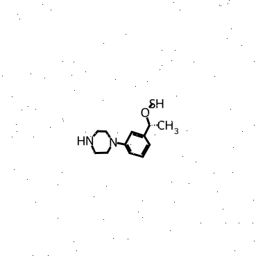 C[C@@H](OS)c1cccc(N2CCNCC2)c1